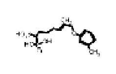 CC(=CCCCC(P(=O)(O)O)S(=O)(=O)O)COc1cccc(C)c1